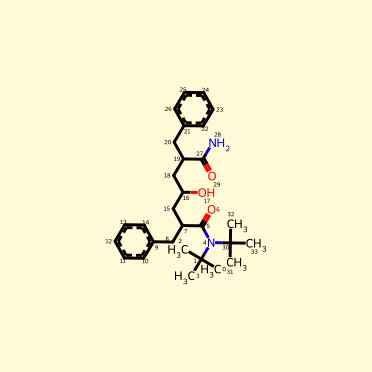 CC(C)(C)N(C(=O)C(Cc1ccccc1)CC(O)CC(Cc1ccccc1)C(N)=O)C(C)(C)C